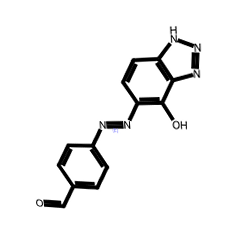 O=Cc1ccc(/N=N/c2ccc3[nH]nnc3c2O)cc1